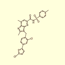 Cc1ccc(S(=O)(=O)NC(=O)c2cc(C)c3nc(C)n(Cc4ccc(-c5ccc(Cl)s5)cc4Cl)c3n2)cc1